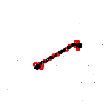 O=C(CCOCCOCCCCCOCCOCCOCCOCCC(=O)ON1C(=O)CCC1=O)ON1C(=O)CCC1=O